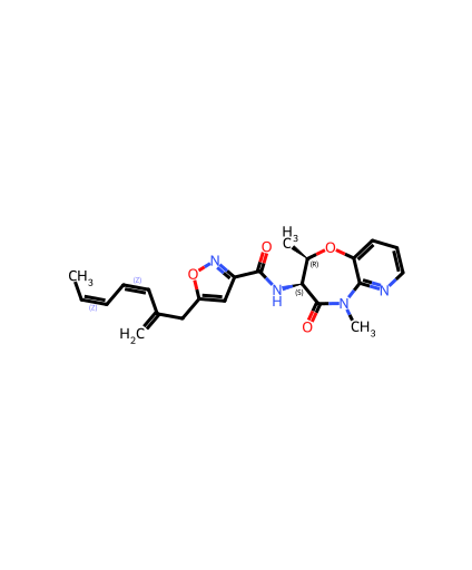 C=C(/C=C\C=C/C)Cc1cc(C(=O)N[C@@H]2C(=O)N(C)c3ncccc3O[C@@H]2C)no1